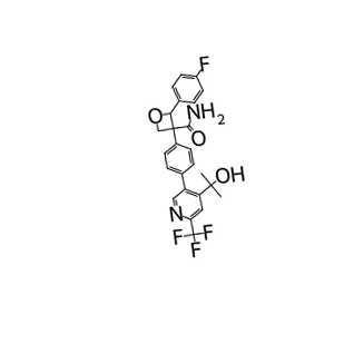 CC(C)(O)c1cc(C(F)(F)F)ncc1-c1ccc(C2(C(N)=O)COC2c2ccc(F)cc2)cc1